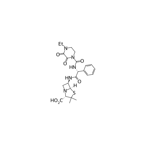 CCN1CCN(C(=O)N[C@@H](C(=O)N[C@@H]2CN3[C@@H]2SC(C)(C)[C@@H]3C(=O)O)c2ccccc2)C(=O)C1=O